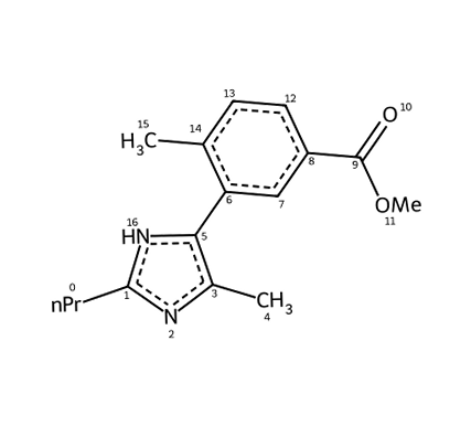 CCCc1nc(C)c(-c2cc(C(=O)OC)ccc2C)[nH]1